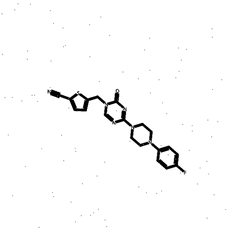 N#Cc1ccc(Cn2cnc(N3CCN(c4ccc(F)cc4)CC3)nc2=O)s1